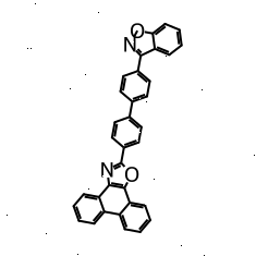 c1ccc2c(-c3ccc(-c4ccc(-c5nc6c7ccccc7c7ccccc7c6o5)cc4)cc3)noc2c1